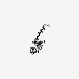 CC(C)OP(=O)(O)OC[C@H]1OC[C@H](O)[C@@H]1OP(=O)(O)OCCCCCCCCO